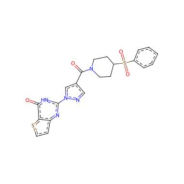 O=C(c1cnn(-c2nc3ccsc3c(=O)[nH]2)c1)N1CCC(S(=O)(=O)c2ccccc2)CC1